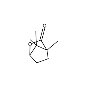 CC12CCC(OC1=O)C2(C)C